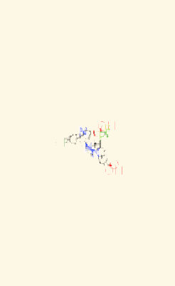 O=C(O)C(F)(F)F.O=C(O)c1ccc2c(c1)CC[C@@H]1CN(Cc3cccnc3-c3ccc(Cl)cc3)CCN21